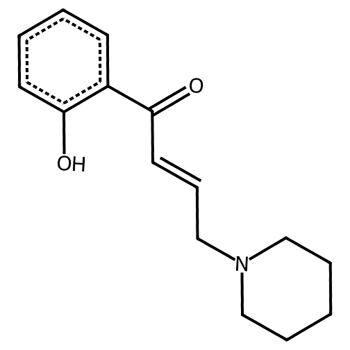 O=C(C=CCN1CCCCC1)c1ccccc1O